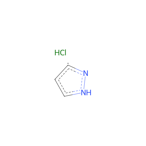 Cl.[c]1cc[nH]n1